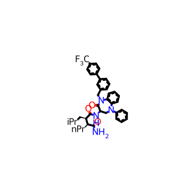 CCC[C@H](C(N)=O)[C@@H](CC(C)C)C(=O)NC1CN(c2ccccc2)c2ccccc2N(Cc2cccc(-c3ccc(C(F)(F)F)cc3)c2)C1=O